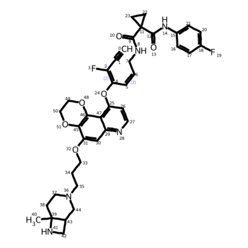 C#C/C(F)=C(\C=C/CNC(=O)C1(C(=O)Nc2ccc(F)cc2)CC1)Oc1ccnc2cc(OCCCN3CCC4(C)NCC4C3)c3c(c12)OCCO3